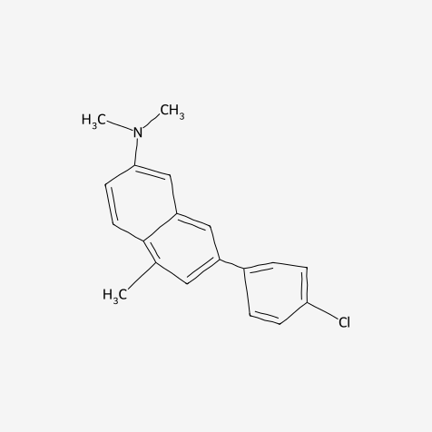 Cc1cc(-c2ccc(Cl)cc2)cc2cc(N(C)C)ccc12